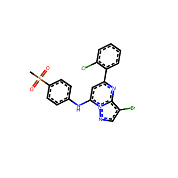 CS(=O)(=O)c1ccc(Nc2cc(-c3ccccc3Cl)nc3c(Br)cnn23)cc1